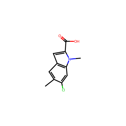 Cc1cc2cc(C(=O)O)n(C)c2cc1Cl